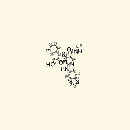 CCNC(=O)c1cnc(Nc2ccc3ncsc3c2)cc1N[C@@H](c1ccccc1)[C@H](O)CO